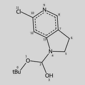 CC(C)(C)OC(O)N1CCc2cnc(Cl)cc21